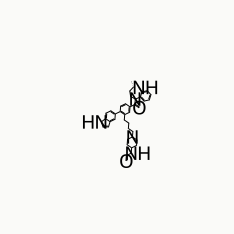 C[C@H]1CCN(C(=O)c2ccc(-c3ccc4[nH]ccc4c3)c(CCCCN3CCC(NC=O)CC3)c2)c2ccccc2N1